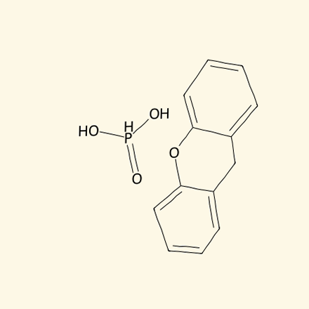 O=[PH](O)O.c1ccc2c(c1)Cc1ccccc1O2